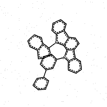 c1ccc(-c2cccc(-n3c4ccccc4c4ccc5c6ccccc6n(-c6nccc7ccccc67)c5c43)c2)cc1